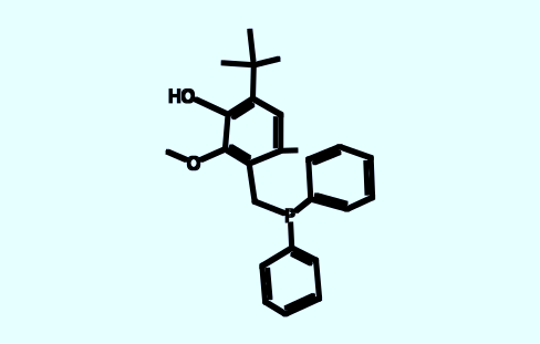 COc1c(O)c(C(C)(C)C)cc(C)c1CP(c1ccccc1)c1ccccc1